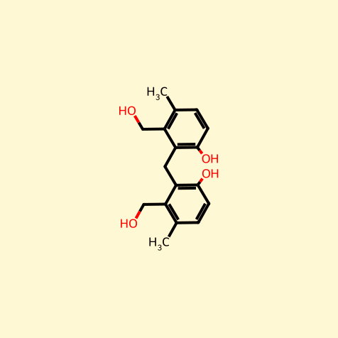 Cc1ccc(O)c(Cc2c(O)ccc(C)c2CO)c1CO